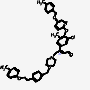 Cc1ccc(COc2ccc(Oc3c(C)cc(/C(=C\C=O)CN4CCN(Cc5ccc(CCOc6ccc(C)cc6)cc5)CC4)cc3Cl)nc2)cc1